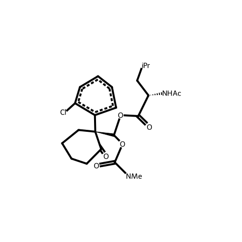 CNC(=O)OC(OC(=O)[C@H](CC(C)C)NC(C)=O)[C@]1(c2ccccc2Cl)CCCCC1=O